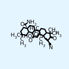 CC1(C)CC[C@]2(C(N)=O)CC[C@@]3(C)[C@]4(C)CCC5C(C)(C)C(=O)C(C#N)=C[C@]5(C)C4=CC(=O)[C@]3(O)C2C1